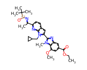 CCOC(=O)c1cc(OC)c2c(c1)nc(-c1cc3ccc(/C(C)=N/[S+]([O-])C(C)(C)C)nc3n1CC1CC1)n2C